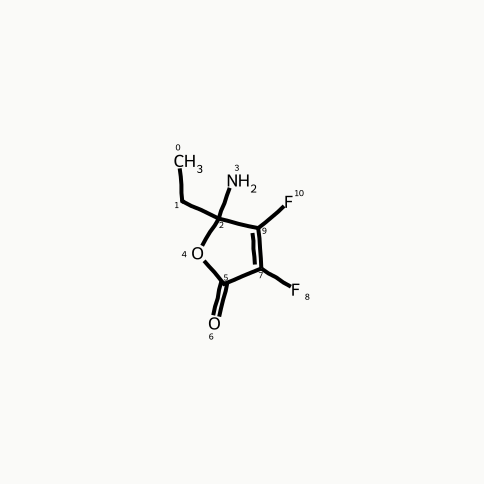 CCC1(N)OC(=O)C(F)=C1F